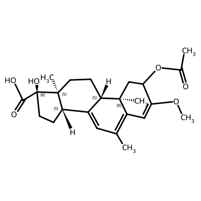 COC1=CC2=C(C)C=C3[C@H](CC[C@@]4(C)[C@H]3CC[C@]4(O)C(=O)O)[C@@]2(C)CC1OC(C)=O